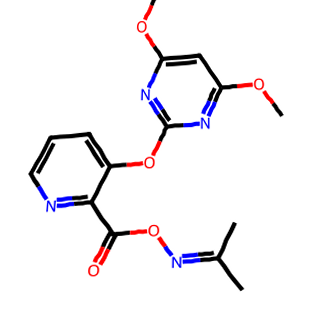 COc1cc(OC)nc(Oc2cccnc2C(=O)ON=C(C)C)n1